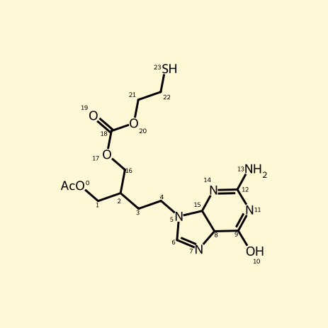 CC(=O)OCC(CCN1C=NC2C(O)=NC(N)=NC21)COC(=O)OCCS